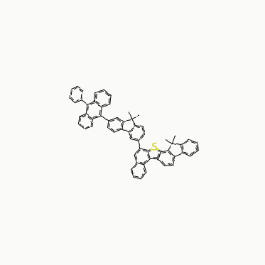 CC1(C)c2ccc(-c3cc4ccccc4c4c3sc3c5c(ccc34)-c3ccccc3C5(C)C)cc2-c2ccc(-c3c4ccccc4c(-c4ccccc4)c4ccccc34)cc21